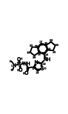 CN(C)S(=O)(=O)NC(=O)c1csc(Nc2c3c(cc4c2CCC4)CCC3)n1